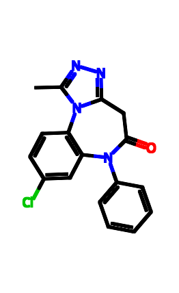 Cc1nnc2n1-c1ccc(Cl)cc1N(c1ccccc1)C(=O)C2